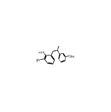 CC(C)c1cccc(CC(C)c2cccc(O)c2)c1O